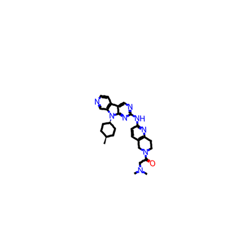 CN(C)CC(=O)N1CCc2nc(Nc3ncc4c5ccncc5n([C@H]5CC[C@H](C)CC5)c4n3)ccc2C1